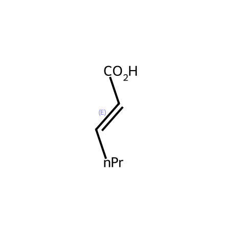 [CH2]CC/C=C/C(=O)O